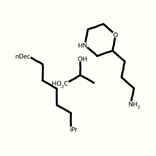 CC(O)C(=O)O.CCCCCCCCCCCCCCCC(C)C.NCCCC1CNCCO1